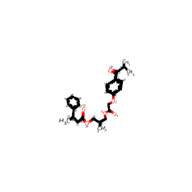 CC(COC(=O)COc1ccc(C(=O)C(C)C)cc1)COC(=O)CC(C)c1ccccc1